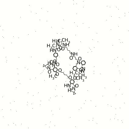 COc1cc2c(cc1OCCCCCOc1cc3c(cc1OC)C(=O)N1CC4(CC4)C[C@H]1C(O)N3C(=O)OCc1ccc(NC(=O)[C@H](C)NC(=O)[C@@H](NC(=O)CCCCNC(=O)CCC(=O)N3Cc4ccccc4-c4c(nnn4C(C)C)-c4ccccc43)C(C)C)cc1)NC[C@@H]1CC3(CC3)CN1C2=O